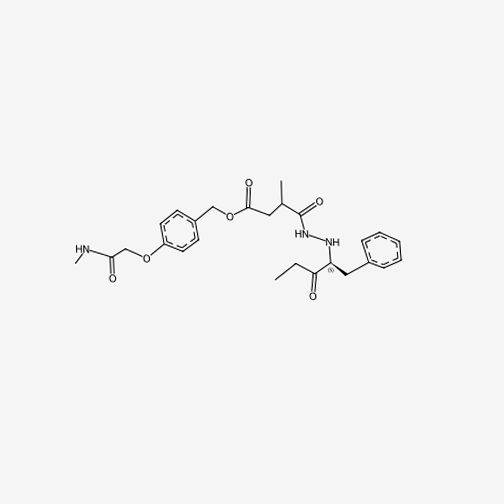 CCC(=O)[C@H](Cc1ccccc1)NNC(=O)C(C)CC(=O)OCc1ccc(OCC(=O)NC)cc1